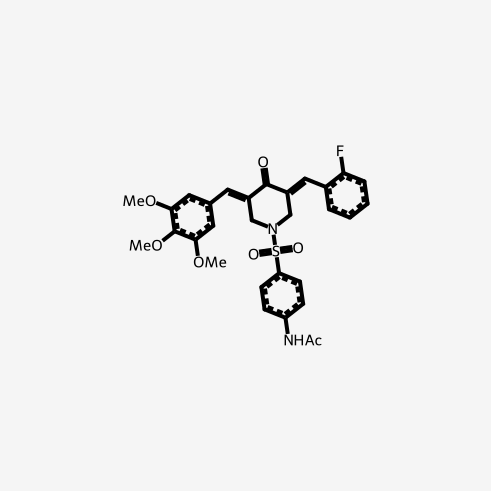 COc1cc(C=C2CN(S(=O)(=O)c3ccc(NC(C)=O)cc3)CC(=Cc3ccccc3F)C2=O)cc(OC)c1OC